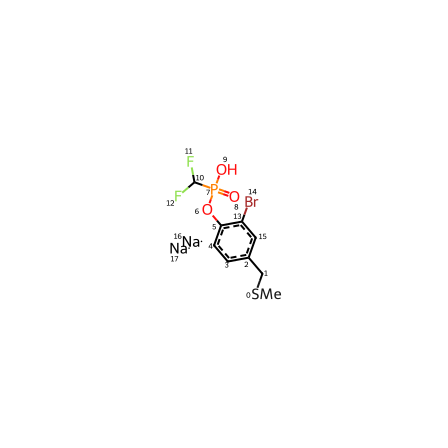 CSCc1ccc(OP(=O)(O)C(F)F)c(Br)c1.[Na].[Na]